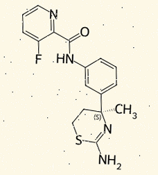 C[C@@]1(c2cccc(NC(=O)c3ncccc3F)c2)CCSC(N)=N1